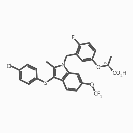 Cc1c(Sc2ccc(Cl)cc2)c2ccc(OC(F)(F)F)cc2n1Cc1cc(O[C@@H](C)C(=O)O)ccc1F